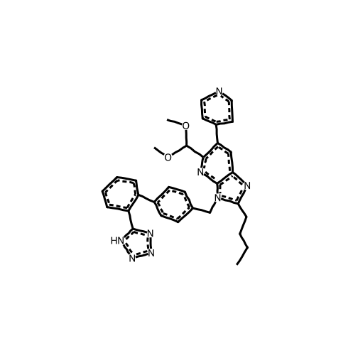 CCCCc1nc2cc(-c3ccncc3)c(C(OC)OC)nc2n1Cc1ccc(-c2ccccc2-c2nnn[nH]2)cc1